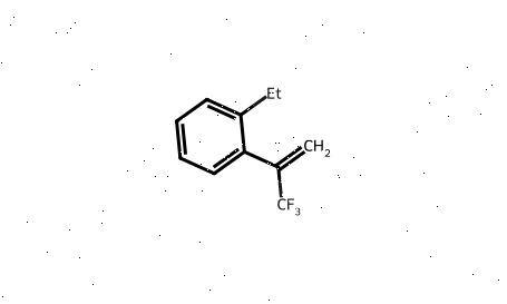 C=C(c1ccccc1CC)C(F)(F)F